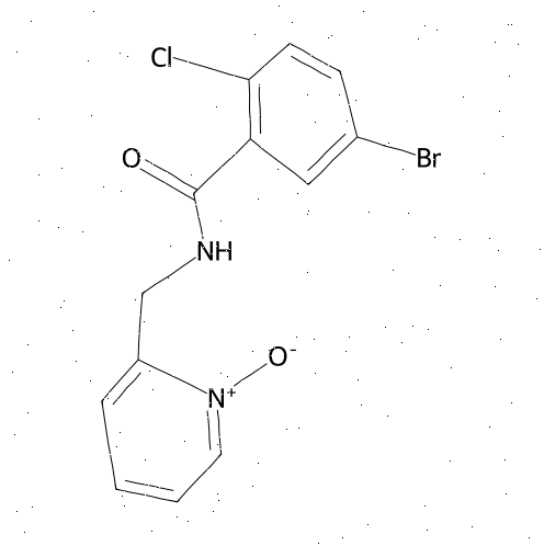 O=C(NCc1cccc[n+]1[O-])c1cc(Br)ccc1Cl